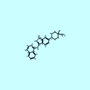 CC1(N)CCN(c2cnc3c(Sc4ncnc5ccccc45)n[nH]c3n2)CC1